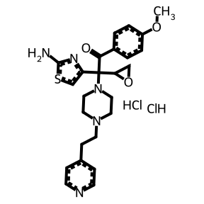 COc1ccc(C(=O)C(c2csc(N)n2)(C2CO2)N2CCN(CCc3ccncc3)CC2)cc1.Cl.Cl